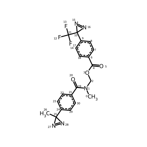 CN(COC(=O)c1ccc(C2(C(F)(F)F)N=N2)cc1)C(=O)c1ccc(C2(C)N=N2)cc1